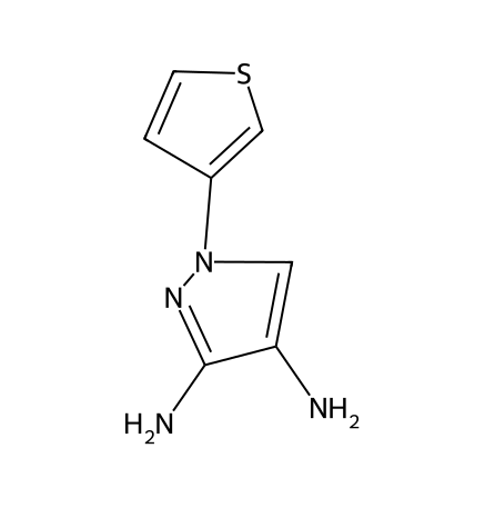 Nc1cn(-c2ccsc2)nc1N